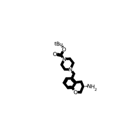 CC(C)(C)OC(=O)N1CCN(Cc2cccc3c2C[C@H](N)CO3)CC1